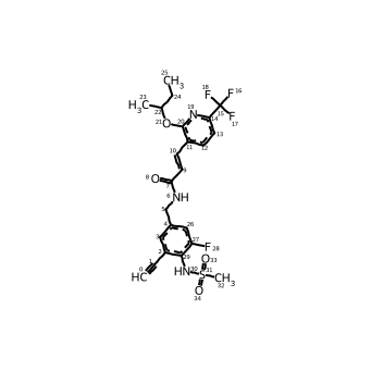 C#Cc1cc(CNC(=O)C=Cc2ccc(C(F)(F)F)nc2OC(C)CC)cc(F)c1NS(C)(=O)=O